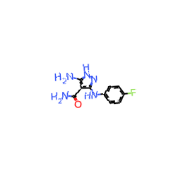 NC(=O)c1c(Nc2ccc(F)cc2)n[nH]c1N